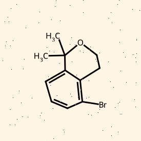 CC1(C)OCCc2c(Br)cccc21